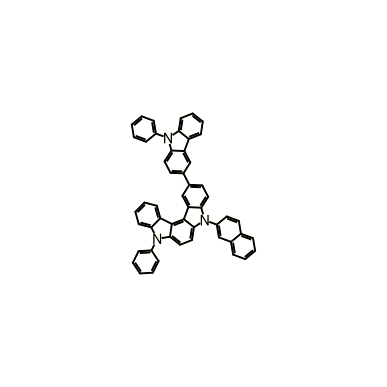 c1ccc(-n2c3ccccc3c3cc(-c4ccc5c(c4)c4c6c7ccccc7n(-c7ccccc7)c6ccc4n5-c4ccc5ccccc5c4)ccc32)cc1